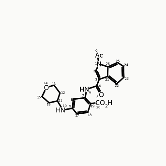 CC(=O)n1cc(C(=O)Nc2cc(NC3CCOCC3)ccc2C(=O)O)c2ccccc21